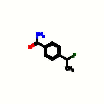 CC(F)c1ccc(C(N)=O)cc1